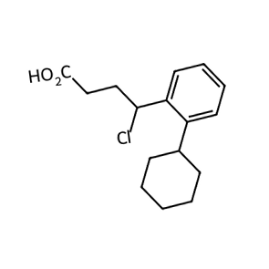 O=C(O)CCC(Cl)c1ccccc1C1CCCCC1